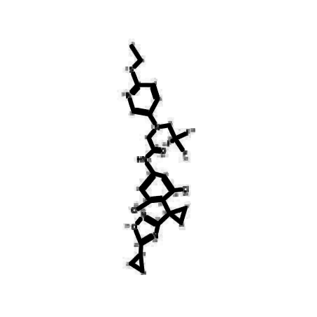 CCSc1ccc(N(CC(=O)Nc2cc(Cl)c(C3(c4noc(C5CC5)n4)CC3)c(Cl)c2)CC(F)(F)F)cn1